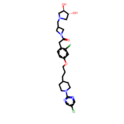 O=C(Cc1ccc(OCCCC2CCN(c3ncc(Cl)cn3)CC2)cc1F)N1CC(CN2C[C@@H](O)[C@H](O)C2)C1